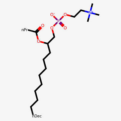 CCCCCCCCCCCCCCCCCCC(COP(=O)([O-])OCC[N+](C)(C)C)OC(=O)CCC